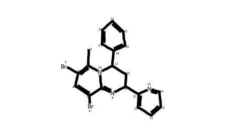 CC1=C(Br)C=C(Br)C2=NC(c3ccccn3)CC(c3ccccc3)N21